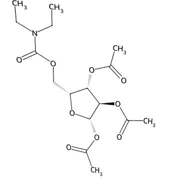 CCN(CC)C(=O)OC[C@H]1O[C@@H](OC(C)=O)[C@H](OC(C)=O)[C@H]1OC(C)=O